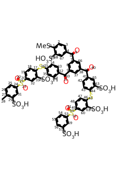 CSc1ccc(C(=O)c2cc(C(=O)c3ccc(Sc4ccc(S(=O)(=O)c5ccc(C)c(S(=O)(=O)O)c5)cc4S(=O)(=O)O)cc3)cc(C(=O)c3ccc(Sc4ccc(S(=O)(=O)c5cccc(S(=O)(=O)O)c5)cc4S(=O)(=O)O)c(S(=O)(=O)O)c3)c2)cc1S(=O)(=O)O